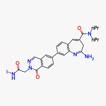 CCCN(CCC)C(=O)C1=Cc2ccc(-c3ccc4c(=O)n(CC(=O)NI)ncc4c3)cc2N=C(N)C1